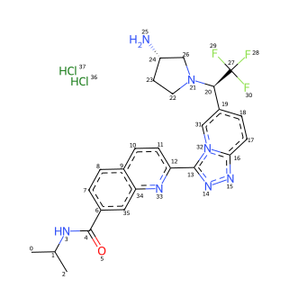 CC(C)NC(=O)c1ccc2ccc(-c3nnc4ccc([C@@H](N5CC[C@H](N)C5)C(F)(F)F)cn34)nc2c1.Cl.Cl